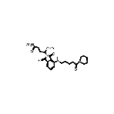 CNC(=O)CCC(C=O)N1C(=O)c2cccc(NCCCCC(=O)N3CCCCC3)c2C1=O